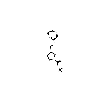 CC(C)(C)OC(=O)N1C[C@H](CSc2cnccn2)[C@@H](O)C1